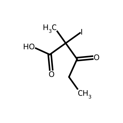 CCC(=O)C(C)(I)C(=O)O